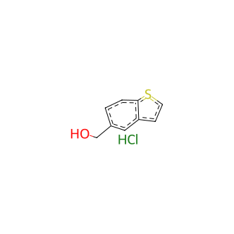 Cl.OCc1ccc2sccc2c1